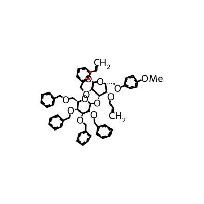 C=CCO[C@H]1O[C@H](COc2ccc(OC)cc2)[C@@H](OCC=C)[C@H](O[C@@H]2O[C@H](COCc3ccccc3)[C@@H](OCc3ccccc3)[C@H](OCc3ccccc3)[C@H]2OCc2ccccc2)[C@H]1OCc1ccccc1